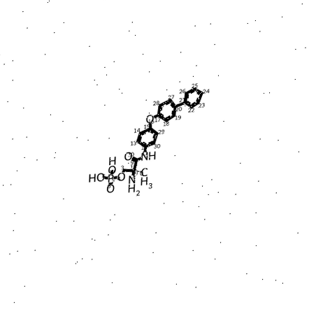 C[C@](N)(COP(=O)(O)O)C(=O)Nc1ccc(Oc2ccc(-c3ccccc3)cc2)cc1